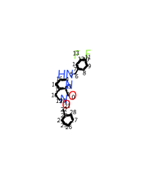 O=C1c2nc(NCc3ccc(F)c(F)c3)ccc2CCN1OCc1ccccc1